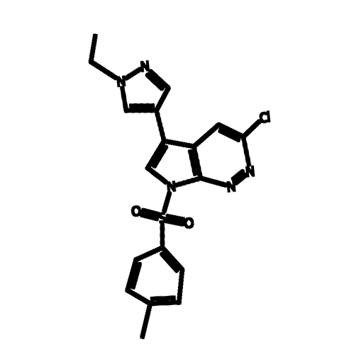 CCn1cc(-c2cn(S(=O)(=O)c3ccc(C)cc3)c3nnc(Cl)cc23)cn1